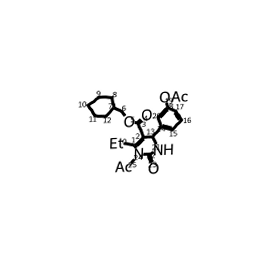 CCC1=C(C(=O)OCC2CCCCC2)C(c2cccc(OC(C)=O)c2)NC(=O)N1C(C)=O